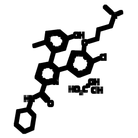 Cc1ccc(O)cc1-c1ccc(C(=O)NC2CCCCC2)nc1-c1ccc(Cl)c(OCCCN(C)C)c1.Cl.O=C(O)O